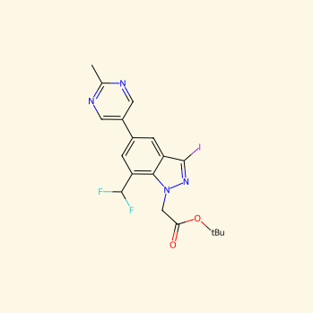 Cc1ncc(-c2cc(C(F)F)c3c(c2)c(I)nn3CC(=O)OC(C)(C)C)cn1